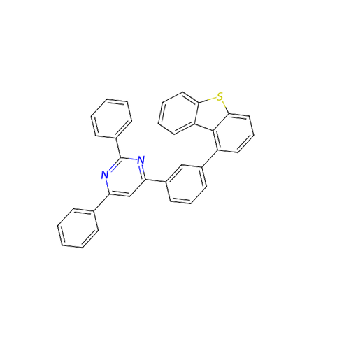 c1ccc(-c2cc(-c3cccc(-c4cccc5sc6ccccc6c45)c3)nc(-c3ccccc3)n2)cc1